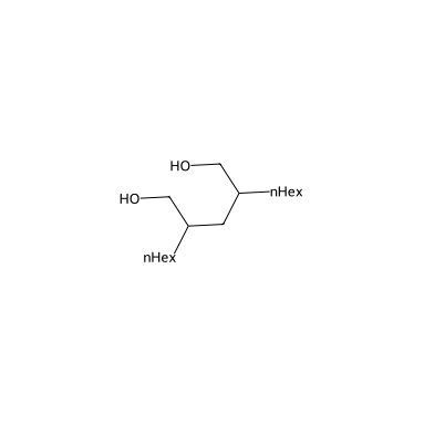 CCCCCCC(CO)CC(CO)CCCCCC